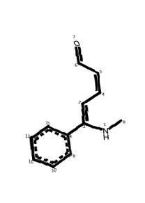 CN/C(=C\C=C/C=O)c1ccccc1